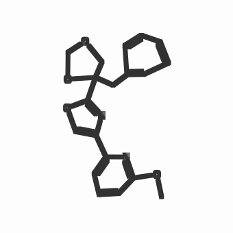 COc1cccc(-c2coc(C3(Cc4ccccc4)COCO3)n2)n1